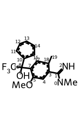 CNC(=N)c1cc(OC)c(C(O)(c2ccccc2)C(F)(F)F)cc1C